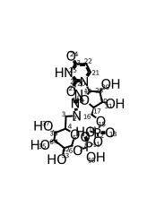 [N-]=[N+]=NCC1O[C@H](OP(=O)(O)OP(=O)(O)OC[C@H]2O[C@@H](n3ccc(=O)[nH]c3=O)C(O)[C@H]2O)C(O)[C@@H](O)[C@@H]1O